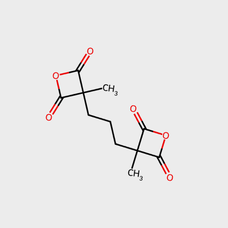 CC1(CCCC2(C)C(=O)OC2=O)C(=O)OC1=O